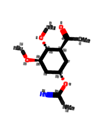 CCCCO[C@@H]1[C@@H](C(=O)OC)C[C@H](OC(=N)NC)C[C@H]1OCCCC